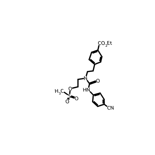 CCOC(=O)c1ccc(CCN(CCOS(C)(=O)=O)C(=O)Nc2ccc(C#N)cc2)cc1